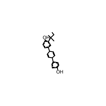 CCC(C)(C)c1cc(C2C=CC(c3ccc(O)cc3)C=C2)ccc1O